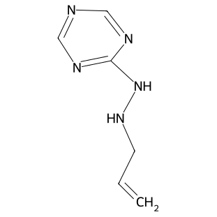 C=CCNNc1ncncn1